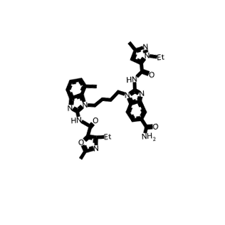 CCc1nc(C)oc1C(=O)Nc1nc2cccc(C)c2n1CCCCn1c(NC(=O)c2cc(C)nn2CC)nc2cc(C(N)=O)ccc21